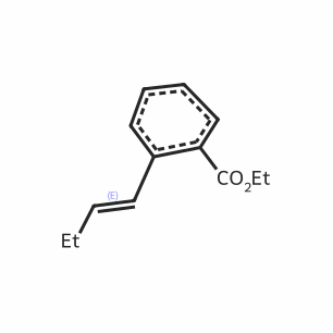 CC/C=C/c1ccccc1C(=O)OCC